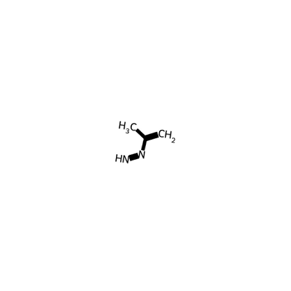 C=C(C)N=N